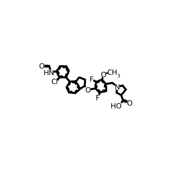 COc1c(CN2CCC(C(=O)O)C2)cc(F)c(OC2CCc3c(-c4cccc(NC=O)c4Cl)cccc32)c1F